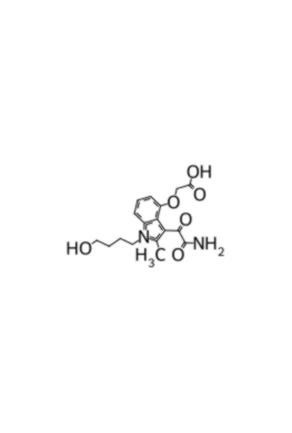 Cc1c(C(=O)C(N)=O)c2c(OCC(=O)O)cccc2n1CCCCO